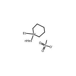 CCCCCC[N+]1(CC)CCCCC1.CS(=O)(=O)[O-]